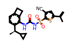 C=C(C)c1cc(C#N)c(S(=O)(=O)NC(=O)Nc2c([C@H](C)C3CC3)ccc3c2CC3)s1